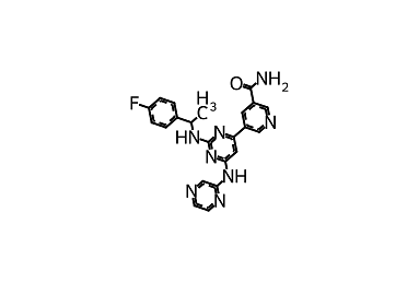 CC(Nc1nc(Nc2cnccn2)cc(-c2cncc(C(N)=O)c2)n1)c1ccc(F)cc1